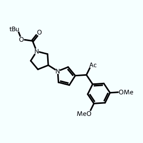 COc1cc(OC)cc(C(C(C)=O)c2ccn(C3CCN(C(=O)OC(C)(C)C)C3)c2)c1